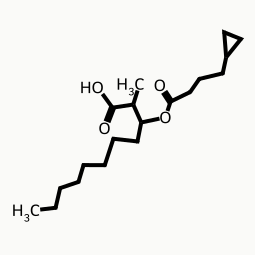 CCCCCCCCC(OC(=O)CCCC1CC1)C(C)C(=O)O